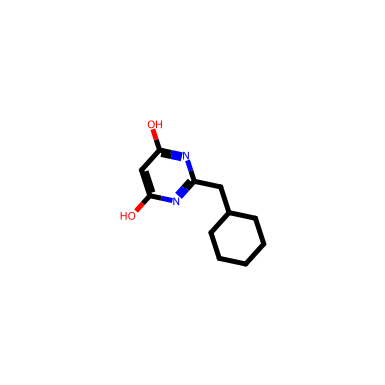 Oc1cc(O)nc(CC2CCCCC2)n1